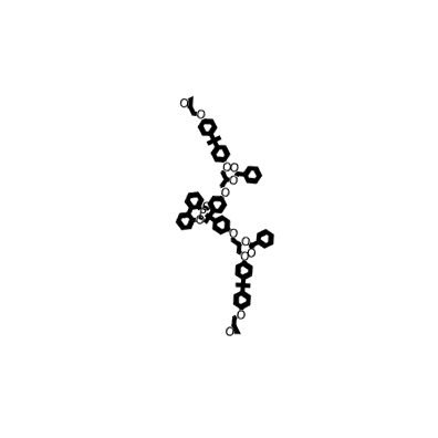 CC(C)(c1ccc(OCC2CO2)cc1)c1ccc(OCC(COc2ccc(C(C)(c3ccc(OCC(COc4ccc(C(C)(C)c5ccc(OCC6CO6)cc5)cc4)OC(=O)c4ccccc4)cc3)P3(=O)Oc4ccccc4-c4ccccc43)cc2)OC(=O)c2ccccc2)cc1